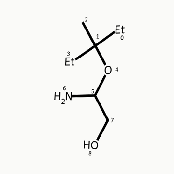 CCC(C)(CC)OC(N)CO